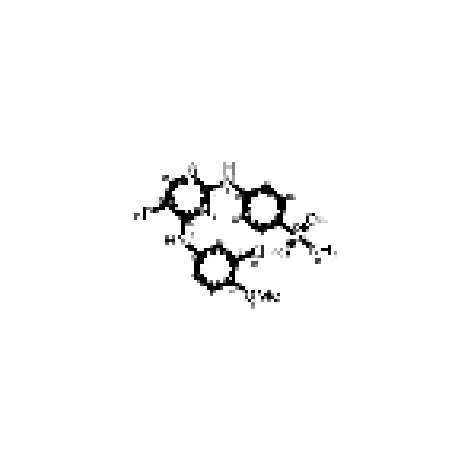 COc1ccc(Nc2nc(Nc3ccc(S(N)(=O)=O)cc3)ncc2F)cc1Cl